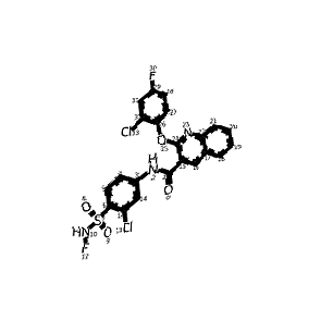 O=C(Nc1ccc(S(=O)(=O)NF)c(Cl)c1)c1cc2ccccc2nc1Oc1ccc(F)cc1Cl